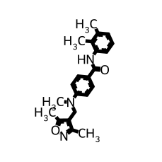 Cc1cccc(NC(=O)c2ccc(N(C)Cc3c(C)noc3C)cc2)c1C